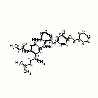 C=CC(=O)Nc1cc(Nc2cc(Nc3ccc(OCC4CCOCC4)c(Cl)c3)ncn2)c(OC)cc1N(C)CCN(C)C